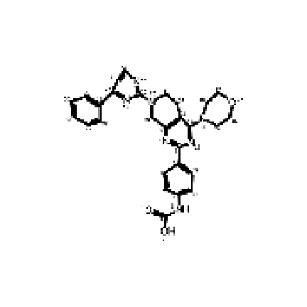 O=C(O)Nc1ccc(-c2nc3c(c(N4CCOCC4)n2)CCN(c2nccc(-c4ccccc4)n2)C3)cc1